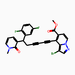 COC(=O)c1ccn2ncc(Br)c2c1C#CC#CCC(c1cc(F)ccc1F)c1cccn(C)c1=O